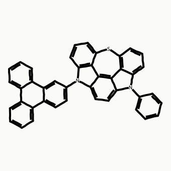 c1ccc(-n2c3cccc4sc5cccc6c5c5c(c43)c2ccc5n6-c2ccc3c4ccccc4c4ccccc4c3c2)cc1